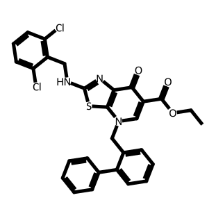 CCOC(=O)c1cn(Cc2ccccc2-c2ccccc2)c2sc(NCc3c(Cl)cccc3Cl)nc2c1=O